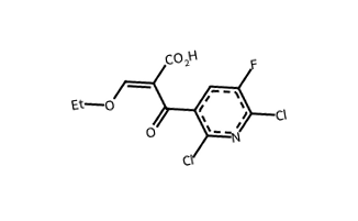 CCO/C=C(/C(=O)O)C(=O)c1cc(F)c(Cl)nc1Cl